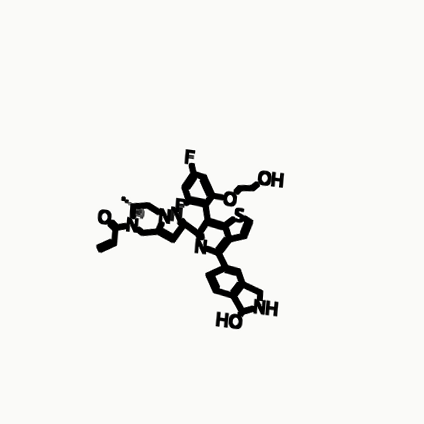 C=CC(=O)N1Cc2cc(-c3nc(-c4ccc5c(c4)CNC5O)c4ccsc4c3-c3c(F)cc(F)cc3OCCO)nn2C[C@H]1C